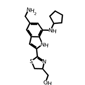 NCc1cc(NC2CCCC2)c2[nH]c(C3=NC(CO)CS3)cc2c1